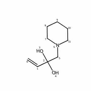 C=CC(O)(O)CN1CCCCC1